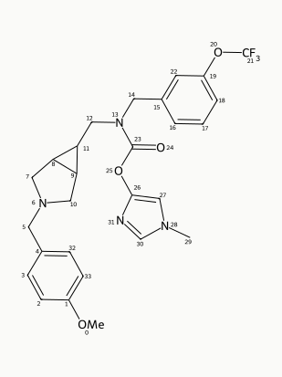 COc1ccc(CN2CC3C(C2)C3CN(Cc2cccc(OC(F)(F)F)c2)C(=O)Oc2cn(C)cn2)cc1